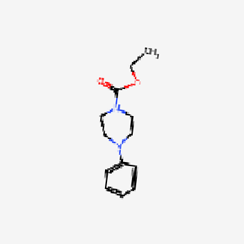 CCOC(=O)N1CCN(c2cc[c]cc2)CC1